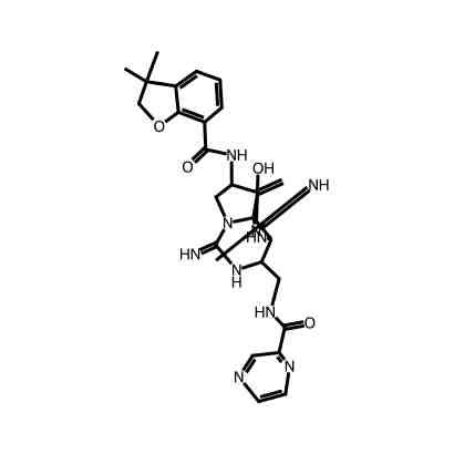 C=C1C(NC(=O)c2cccc3c2OCC3(C)C)CN2C(=N)NC(CNC(=O)c3cnccn3)C3NC(=N)N(O)C132